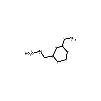 NCC1CCCC(CNC(=O)O)C1